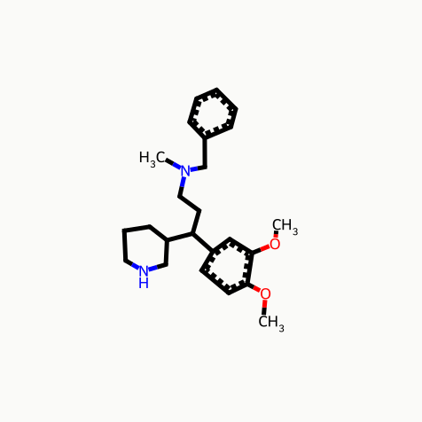 COc1ccc(C(CCN(C)Cc2ccccc2)C2CCCNC2)cc1OC